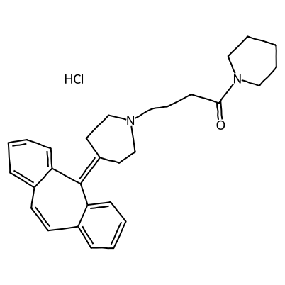 Cl.O=C(CCCN1CCC(=C2c3ccccc3C=Cc3ccccc32)CC1)N1CCCCC1